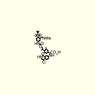 CNCc1cc(NC(=O)OC[C@H](C)c2ccc(C(Nc3ccc4c(Cl)c[nH]c(=O)c4c3)C(=O)O)cc2C)ccc1S(=O)(=O)C1CC1